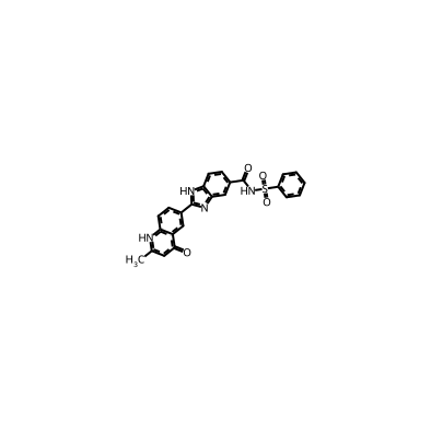 Cc1cc(=O)c2cc(-c3nc4cc(C(=O)NS(=O)(=O)c5ccccc5)ccc4[nH]3)ccc2[nH]1